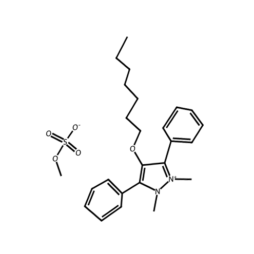 CCCCCCCOc1c(-c2ccccc2)n(C)[n+](C)c1-c1ccccc1.COS(=O)(=O)[O-]